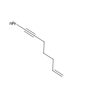 C=CCCCC#CCCC